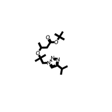 CC(CC(=O)OC(C)(C)C)OC(C)(C)Cn1cc(C(C)C)nn1